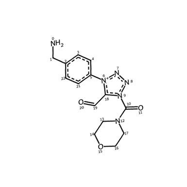 NCc1ccc(-[n+]2nnn(C(=O)N3CCOCC3)c2C=O)cc1